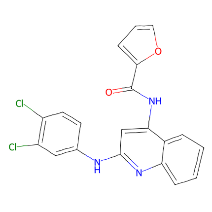 O=C(Nc1cc(Nc2ccc(Cl)c(Cl)c2)nc2ccccc12)c1ccco1